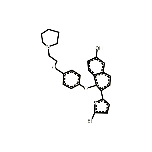 CCc1ccc(-c2ccc3cc(O)ccc3c2Oc2ccc(OCCN3CCCCC3)cc2)s1